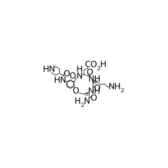 NCCCC[C@@H]1NC(=O)C(CCC(=O)O)NC(=O)c2cc(NC(=O)C3CCNCC3)ccc2OCC[C@@H](C(N)=O)NC1=O